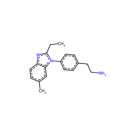 CCc1nc2ccc(C)cc2n1-c1ccc(CCN)cc1